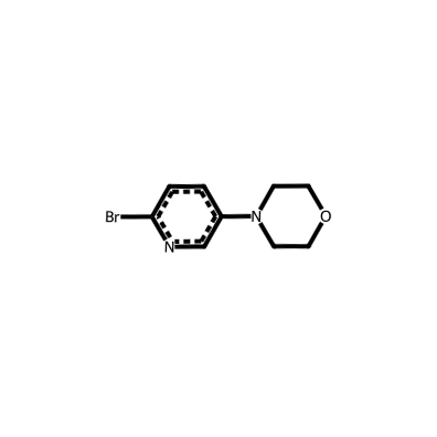 Brc1ccc(N2CCOCC2)cn1